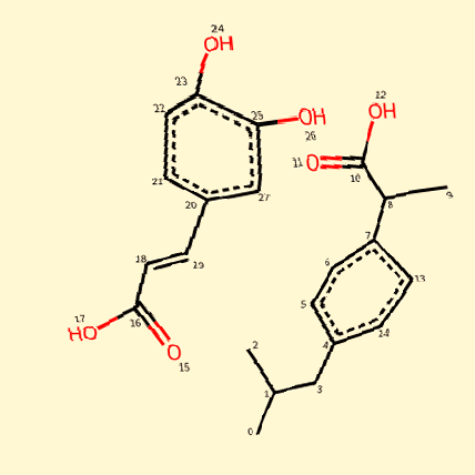 CC(C)Cc1ccc(C(C)C(=O)O)cc1.O=C(O)C=Cc1ccc(O)c(O)c1